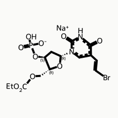 CCOC(=O)OC[C@H]1O[C@@H](n2cc(C=CBr)c(=O)[nH]c2=O)C[C@@H]1OP(=O)([O-])O.[Na+]